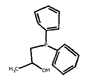 CC(O)CP(c1ccccc1)c1ccccc1